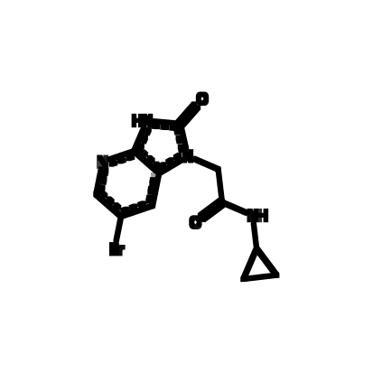 O=C(Cn1c(=O)[nH]c2ncc(Br)cc21)NC1CC1